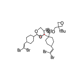 CC(C)(C)C1(COC(=O)C2(C3OC4(C5CCC(C=C(Br)Br)CC5)OCC3(C(C)(C)C)CO4)CCC(C=C(Br)Br)CC2)COC1